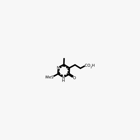 CSc1nc(C)c(CCC(=O)O)c(=O)[nH]1